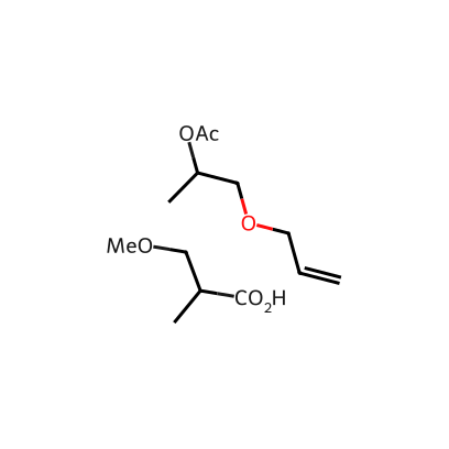 C=CCOCC(C)OC(C)=O.COCC(C)C(=O)O